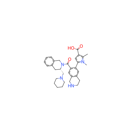 Cc1c(C(=O)O)cc(-c2cc3c(cc2C(=O)N2Cc4ccccc4C[C@H]2CN2CCCCC2)CNCC3)n1C